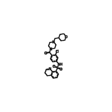 O=C(c1ccc(NS(=O)(=O)c2cccc3c2N=CCC3)cc1Cl)N1CCN(CC2CCOCC2)CC1